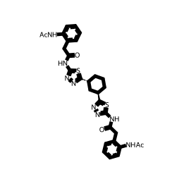 CC(=O)Nc1ccccc1CC(=O)Nc1nnc([C@@H]2CCC[C@@H](c3nnc(NC(=O)Cc4ccccc4NC(C)=O)s3)C2)s1